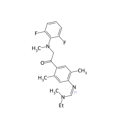 CCN(C)/C=N\c1cc(C)c(C(=O)CN(C)c2c(F)cccc2F)cc1C